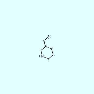 CC(=O)SC1CCCNC1